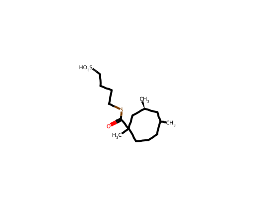 CC1CCCC(C)(C(=O)SCCCCS(=O)(=O)O)C[C@@H](C)C1